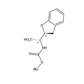 CC(C)(C)OC(=O)N[C@H](C(=O)O)[C@@H]1Cc2ccccc2O1